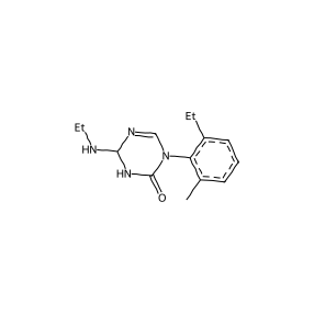 CCNC1N=CN(c2c(C)cccc2CC)C(=O)N1